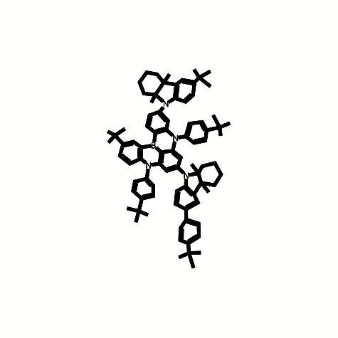 CC(C)(C)c1ccc(-c2ccc3c(c2)C2(C)CCCCC2(C)N3c2cc3c4c(c2)N(c2ccc(C(C)(C)C)cc2)c2cc(N5c6ccc(C(C)(C)C)cc6C6(C)CCCCC56C)ccc2B4c2cc(C(C)(C)C)ccc2N3c2ccc(C(C)(C)C)cc2)cc1